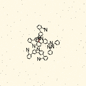 N#Cc1ccccc1-c1ccc2c(c1)c1cc(-c3ccccc3C#N)ccc1n2-c1ccc(C(F)(F)F)c(-c2cc(-c3nc(-c4ccccc4)nc(-c4ccccc4)n3)ccc2-n2c3ccc(-c4ccccc4C#N)cc3c3cc(-c4ccccc4C#N)ccc32)c1